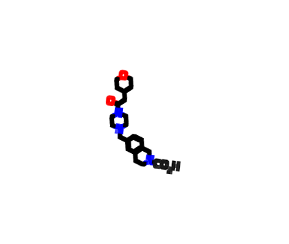 O=C(O)N1CCc2cc(CN3CCN(C(=O)CC4CCOCC4)CC3)ccc2C1